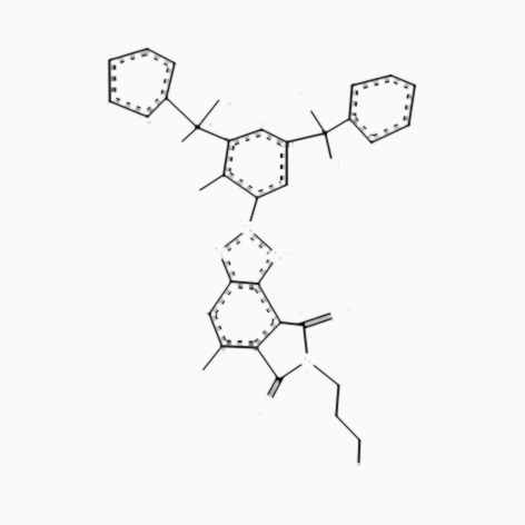 CCCCN1C(=O)c2c(Br)cc3nn(-c4cc(C(C)(C)c5ccccc5)cc(C(C)(C)c5ccccc5)c4O)nc3c2C1=O